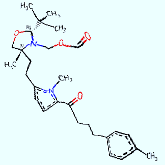 Cc1ccc(CCCC(=O)c2ccc(CC[C@]3(C)CO[C@H](C(C)(C)C)N3COC=O)n2C)cc1